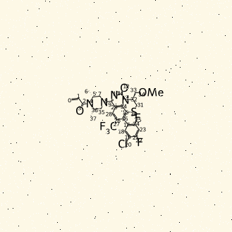 C=CC(=O)N1[C@H](C)CN(c2nc(=O)n3c4c(c(-c5cc(Cl)c(F)cc5F)c(C(F)(F)F)cc24)SC[C@@H]3COC)C[C@@H]1C